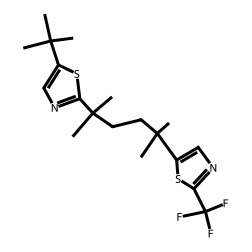 CC(C)(C)c1cnc(C(C)(C)CCC(C)(C)c2cnc(C(F)(F)F)s2)s1